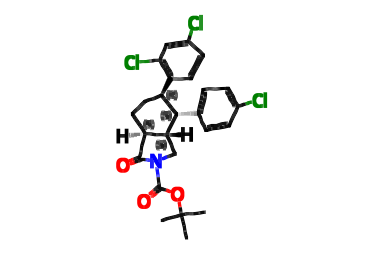 CC(C)(C)OC(=O)N1C[C@H]2[C@@H](c3ccc(Cl)cc3)[C@H](c3ccc(Cl)cc3Cl)CC[C@@H]2C1=O